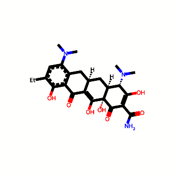 CCc1cc(N(C)C)c2c(c1O)C(=O)C1=C(O)[C@]3(O)C(=O)C(C(N)=O)=C(O)[C@@H](N(C)C)[C@@H]3C[C@@H]1C2